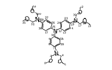 COCN(COC)c1ccc(N(c2ccc(N(COC)COC)cc2)c2ccc(N(COC)COC)cc2)cc1